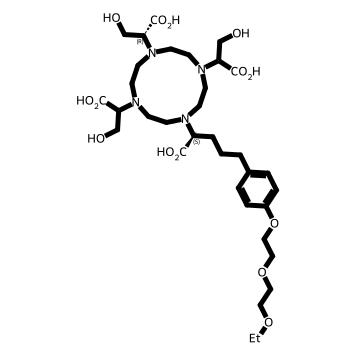 CCOCCOCCOc1ccc(CCC[C@@H](C(=O)O)N2CCN(C(CO)C(=O)O)CCN([C@H](CO)C(=O)O)CCN(C(CO)C(=O)O)CC2)cc1